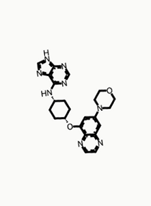 c1cnc2c(O[C@H]3CC[C@@H](Nc4ncnc5[nH]cnc45)CC3)cc(N3CCOCC3)cc2n1